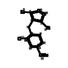 CCc1noc(CC)c1Cc1ccc(OC)cc1Cl